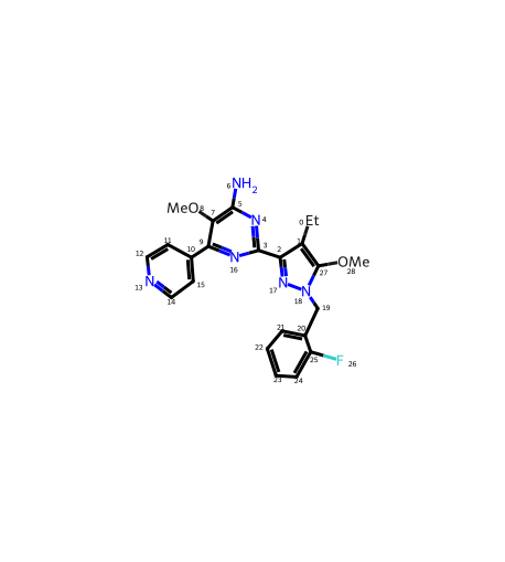 CCc1c(-c2nc(N)c(OC)c(-c3ccncc3)n2)nn(Cc2ccccc2F)c1OC